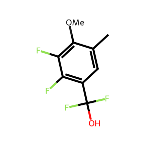 COc1c(C)cc(C(O)(F)F)c(F)c1F